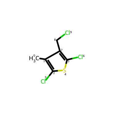 Cc1c(Cl)sc(Cl)c1CCl